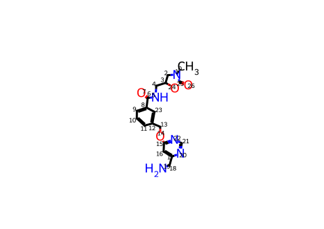 CN1CC(CNC(=O)c2cccc(COc3cc(CN)ncn3)c2)OC1=O